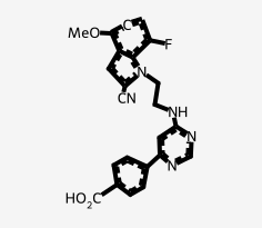 COc1ccc(F)c2c1cc(C#N)n2CCNc1cc(-c2ccc(C(=O)O)cc2)ncn1